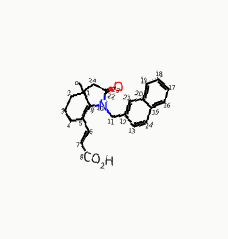 CC12CCCC(/C=C/C(=O)O)=C1N(Cc1ccc3ccccc3c1)C(=O)C2